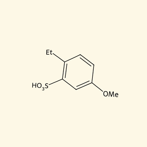 CCc1ccc(OC)cc1S(=O)(=O)O